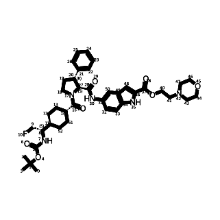 CC(C)(C)OC(=O)N[C@H](CF)[C@H]1CC[C@H](C(=O)N2CC[C@H](c3ccccc3)[C@H]2C(=O)Nc2ccc3[nH]c(C(=O)OCCN4CCOCC4)cc3c2)CC1